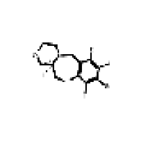 Fc1c(I)c(Br)c(F)c2c1CN1CCNC[C@@H]1CO2